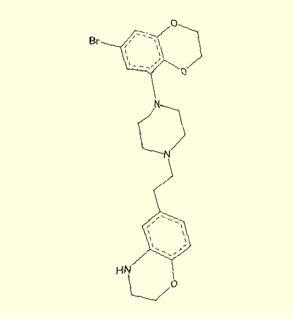 Brc1cc2c(c(N3CCN(CCc4ccc5c(c4)NCCO5)CC3)c1)OCCO2